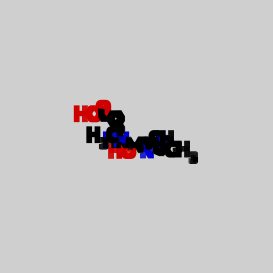 CC1=NC(C)(c2ccc([C@@H](O)CNC(C)Cc3cccc(CC(=O)O)c3)cn2)C=C1